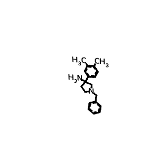 Cc1ccc(C2(N)CCN(Cc3ccccc3)C2)cc1C